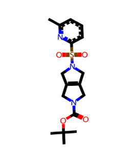 Cc1cccc(S(=O)(=O)N2CC3=C(CN(C(=O)OC(C)(C)C)C3)C2)n1